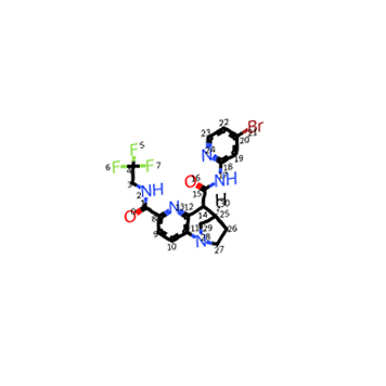 O=C(NCC(F)(F)F)c1ccc2c(n1)C(C(=O)Nc1cc(Br)ccn1)[C@H]1CCN2C1